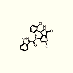 O=C1NC(c2ccccc2Cl)c2c(NC(=O)c3nsc4ccccc34)cc(Cl)nc21